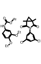 CC12CC1(C)C(=O)N(c1cc(Cl)cc(Cl)c1)C2=O.CCOc1ccc(NC(=O)OC(C)C)cc1OCC